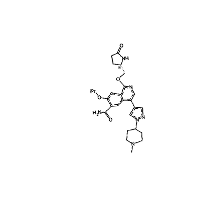 CC(C)Oc1cc2c(OC[C@@H]3CCC(=O)N3)ncc(-c3cnn(C4CCN(C)CC4)c3)c2cc1C(N)=O